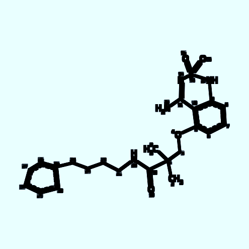 CC(C)(COc1cccc2c1C(N)=NS(=O)(=O)N2)C(=O)NCCCCc1ccccc1